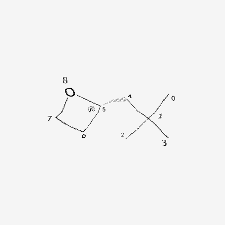 CC(C)(C)C[C@@H]1CCO1